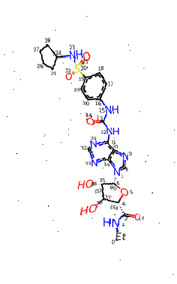 CCNC(=O)[C@H]1O[C@@H](n2cnc3c(NC(=O)Nc4ccc(S(=O)(=O)NC5CCCC5)cc4)ncnc32)[C@@H](O)C1O